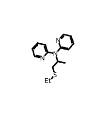 CCSCC(C)N(c1ccccn1)c1ccccn1